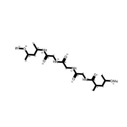 COC(C)CC(C)C(=O)NCC(=O)NCC(=O)NCC(=O)NC(C)CC(C)OC(C)C